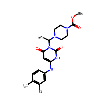 CCCC(N1CCN(C(=O)OC(C)(C)C)CC1)n1c(=O)cc(Nc2ccc(C)c(CC)c2)[nH]c1=O